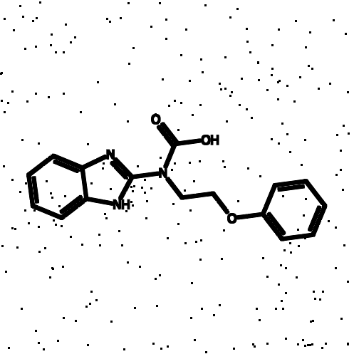 O=C(O)N(CCOc1ccccc1)c1nc2ccccc2[nH]1